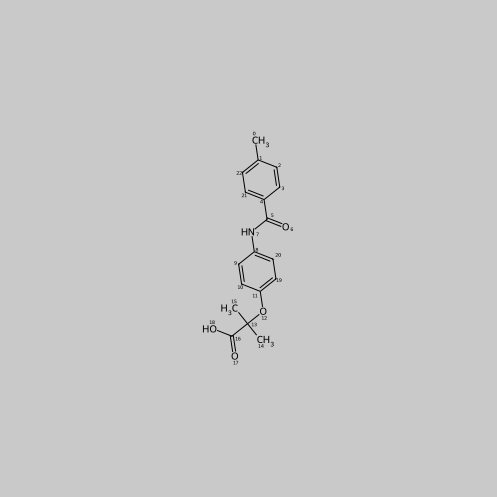 Cc1ccc(C(=O)Nc2ccc(OC(C)(C)C(=O)O)cc2)cc1